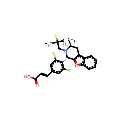 C[C@H]1Cc2c(oc3ccccc23)[C@H](c2c(F)cc(/C=C/C(=O)O)cc2F)N1CC(C)(C)F